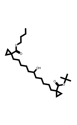 CCCCOC(=O)C1(CCCCCC(O)CCCCCC2(C(=O)OC(C)(C)C)CC2)CC1